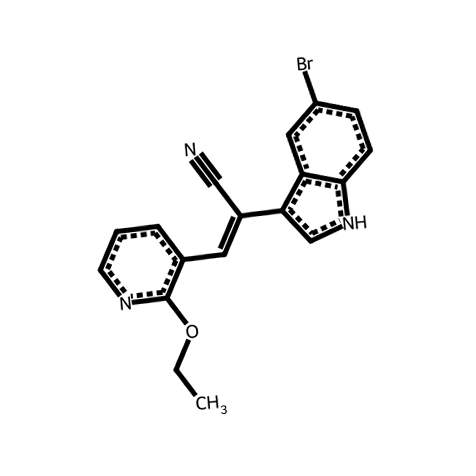 CCOc1ncccc1C=C(C#N)c1c[nH]c2ccc(Br)cc12